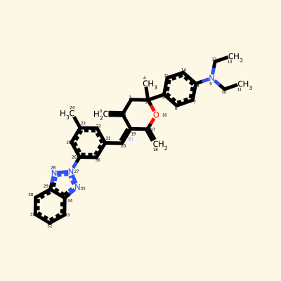 C=C1CC(C)(c2ccc(N(CC)CC)cc2)OC(=C)/C1=C/c1cc(C)cc(-n2nc3ccccc3n2)c1